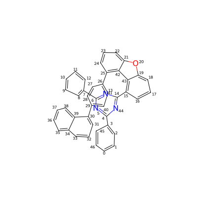 c1ccc(-c2nc(-c3ccccc3)nc(-c3cccc4oc5cccc(-c6ccc(-c7cccc8ccccc78)cc6)c5c34)n2)cc1